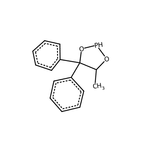 CC1OPOC1(c1ccccc1)c1ccccc1